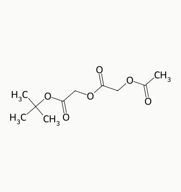 CC(=O)OCC(=O)OCC(=O)OC(C)(C)C